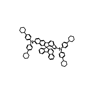 c1ccc2c(c1)-c1c(ccc3ccccc13)C21c2cc3cc(N(c4ccc(C5CCCCC5)cc4)c4ccc(C5CCCCC5)cc4)ccc3cc2-c2ccc3cc(N(c4ccc(C5CCCCC5)cc4)c4ccc(C5CCCCC5)cc4)ccc3c21